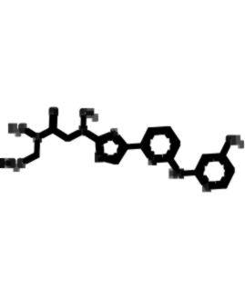 Cc1ccnc(Nc2cccc(-c3cnc(N(C)CC(=O)N(C)CC(=O)O)s3)n2)c1